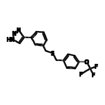 FC(F)(F)Oc1ccc(CSCc2cccc(-c3c[nH]nn3)c2)cc1